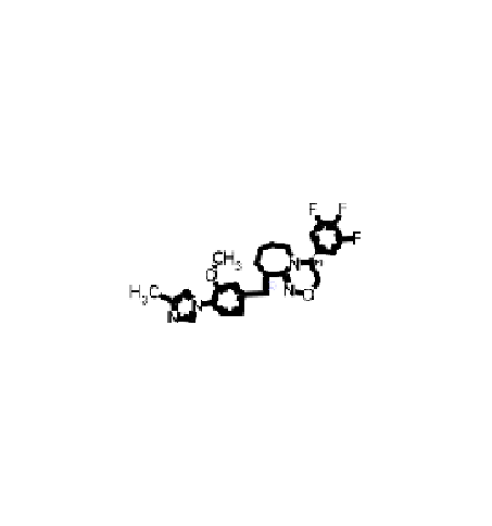 COc1cc(/C=C2\CCCCN3C2=NOC[C@H]3c2cc(F)c(F)c(F)c2)ccc1-n1cnc(C)c1